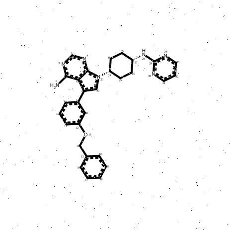 Nc1ncnc2c1c(-c1cccc(OCc3ccccc3)c1)cn2[C@H]1CC[C@@H](Nc2ncccn2)CC1